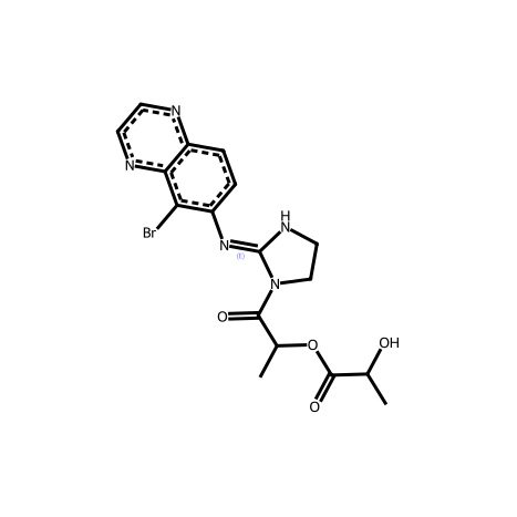 CC(O)C(=O)OC(C)C(=O)N1CCN/C1=N\c1ccc2nccnc2c1Br